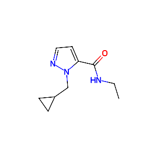 CCNC(=O)c1ccnn1CC1CC1